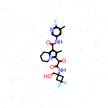 Cc1cc(NC(=O)c2c(C)c(C(=O)C(=O)NC3(CO)CC(F)(F)C3)n3c2CCCC3)cnc1F